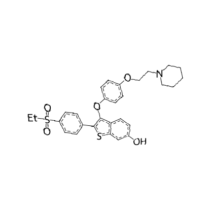 CCS(=O)(=O)c1ccc(-c2sc3cc(O)ccc3c2Oc2ccc(OCCN3CCCCC3)cc2)cc1